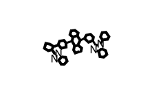 c1ccc(-n2c(-c3cccc(-c4c5ccccc5c(-c5ccc6c7ccccc7c7nc8ccccc8n7c6c5)c5ccccc45)c3)nc3ccccc32)cc1